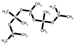 C[SiH](C)O[Si](C)(C)O[SiH](C)O[Si](C)(C)O[SiH](C)C